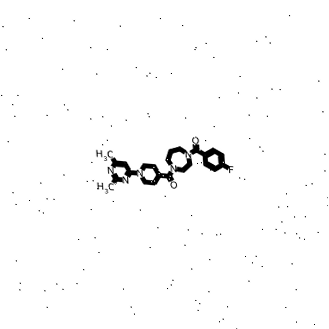 Cc1cc(N2CCC(C(=O)N3CCCN(C(=O)c4ccc(F)cc4)CC3)CC2)nc(C)n1